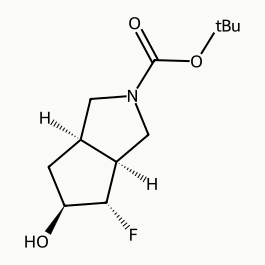 CC(C)(C)OC(=O)N1C[C@@H]2C[C@H](O)[C@@H](F)[C@@H]2C1